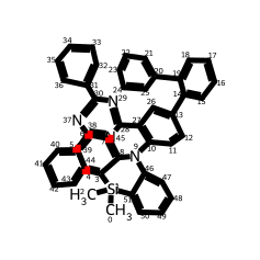 C[Si]1(C)c2ccccc2N(c2ccc(-c3ccccc3-c3ccccc3)cc2-c2nc(-c3ccccc3)nc(-c3ccccc3)n2)c2ccccc21